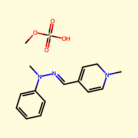 CN1C=CC(C=NN(C)c2ccccc2)=CC1.COS(=O)(=O)O